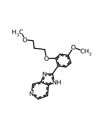 COCCCOc1cc(OC)ccc1-c1nc2cnccc2[nH]1